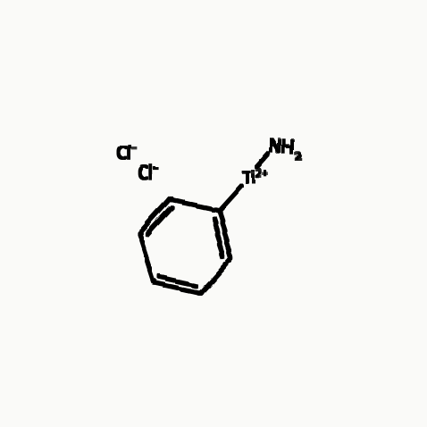 [Cl-].[Cl-].[NH2][Ti+2][c]1ccccc1